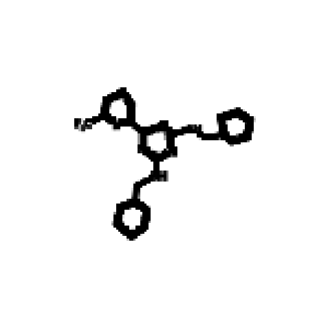 FC(F)(F)c1cccc(-c2nc(NCc3ccccc3)nc(NCc3ccccc3)n2)n1